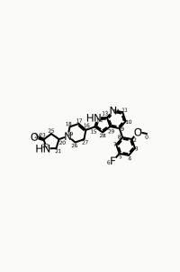 COc1ccc(F)cc1-c1ccnc2[nH]c(C3=CCN(C4CNC(=O)C4)CC3)cc12